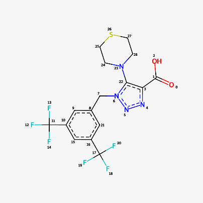 O=C(O)c1nnn(Cc2cc(C(F)(F)F)cc(C(F)(F)F)c2)c1N1CCSCC1